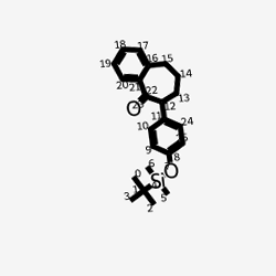 CC(C)(C)[Si](C)(C)Oc1ccc(C2CCCc3ccccc3C2=O)cc1